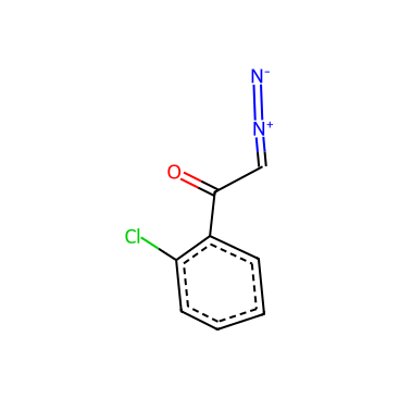 [N-]=[N+]=CC(=O)c1ccccc1Cl